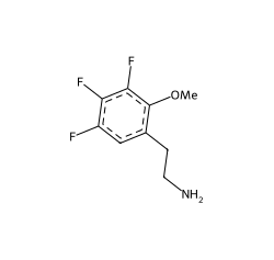 COc1c(CCN)cc(F)c(F)c1F